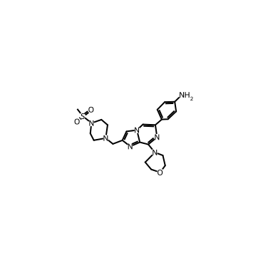 CS(=O)(=O)N1CCN(Cc2cn3cc(-c4ccc(N)cc4)nc(N4CCOCC4)c3n2)CC1